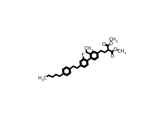 CCCCCc1ccc(CCc2ccc(-c3ccc(CCC(C(=O)OC)C(=O)OC)cc3CC)c(F)c2)cc1